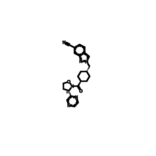 N#Cc1ccc2cn(C[C@H]3CC[C@H](C(=O)N4OCC[C@H]4c4cnccn4)CC3)nc2c1